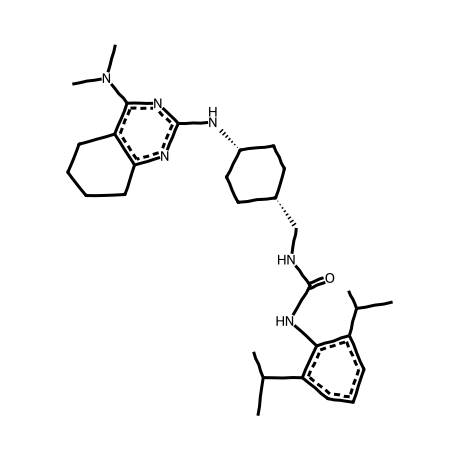 CC(C)c1cccc(C(C)C)c1NC(=O)NC[C@H]1CC[C@@H](Nc2nc3c(c(N(C)C)n2)CCCC3)CC1